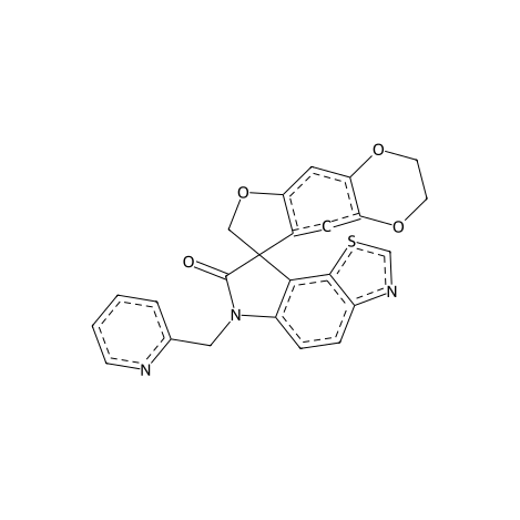 O=C1N(Cc2ccccn2)c2ccc3ncsc3c2C12COc1cc3c(cc12)OCCO3